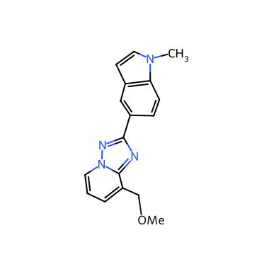 COCc1cccn2nc(-c3ccc4c(ccn4C)c3)nc12